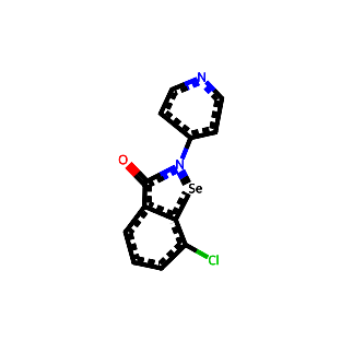 O=c1c2cccc(Cl)c2[se]n1-c1ccncc1